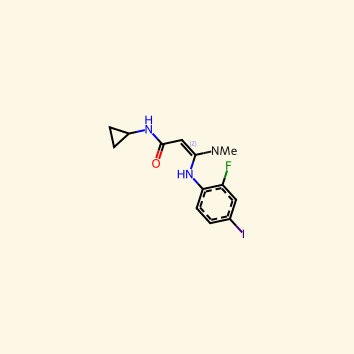 CN/C(=C/C(=O)NC1CC1)Nc1ccc(I)cc1F